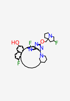 Oc1cc2c3c(c(F)ccc3c1)CCCCCCCC1CCCN(C1)c1nc(OCC34CCCN3CC(F)C4)nc3c(F)c-2ncc13